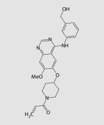 C=CC(=O)N1CCC(Oc2cc3c(Nc4cccc(CO)c4)ncnc3cc2OC)CC1